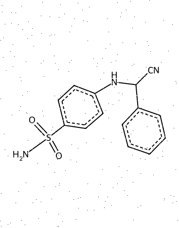 N#CC(Nc1ccc(S(N)(=O)=O)cc1)c1ccccc1